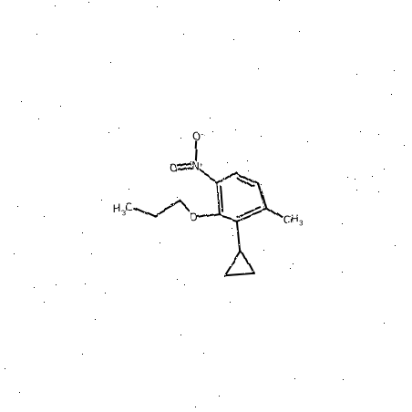 CCCOc1c([N+](=O)[O-])ccc(C)c1C1CC1